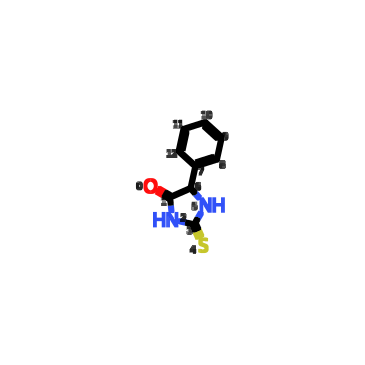 O=C1NC(=S)NC1c1ccccc1